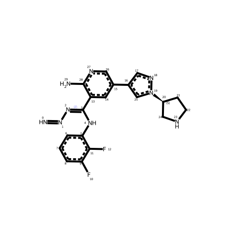 N=N/N=C(\Nc1cccc(F)c1F)c1cc(-c2cnn([C@H]3CCNC3)c2)cnc1N